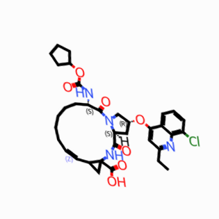 CCc1cc(O[C@@H]2C[C@H]3C(=O)NC4(C(=O)O)CC4/C=C\CCCCC[C@H](NC(=O)OC4CCCC4)C(=O)N3C2)c2cccc(Cl)c2n1